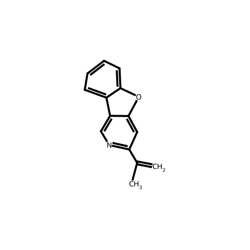 C=C(C)c1cc2oc3ccccc3c2cn1